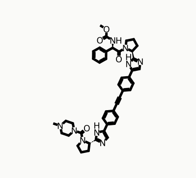 COC(=O)N[C@@H](C(=O)N1CCC[C@H]1c1ncc(-c2ccc(C#Cc3ccc(-c4cnc([C@@H]5CCCN5C(=O)N5CCN(C)CC5)[nH]4)cc3)cc2)[nH]1)c1ccccc1